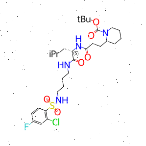 CC(C)C[C@H](NC(=O)CCC1CCCCN1C(=O)OC(C)(C)C)C(=O)NCCCCNS(=O)(=O)c1ccc(F)cc1Cl